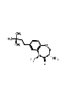 CN1C(=O)[C@@H](N)COc2ccc(CCC(C)(C)O)cc21